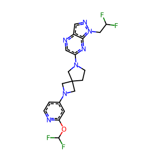 FC(F)Cn1ncc2ncc(N3CCC4(CN(c5ccnc(OC(F)F)c5)C4)C3)nc21